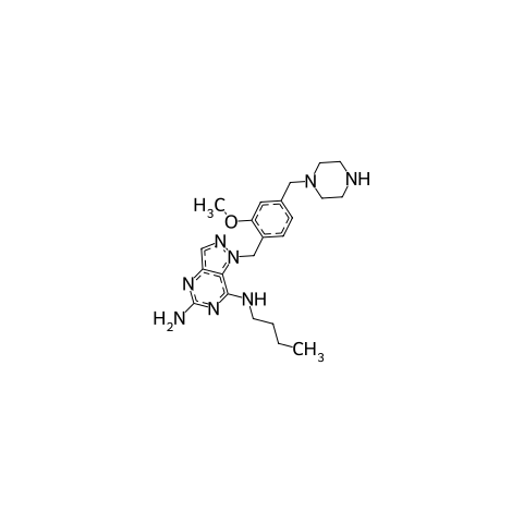 CCCCNc1nc(N)nc2cnn(Cc3ccc(CN4CCNCC4)cc3OC)c12